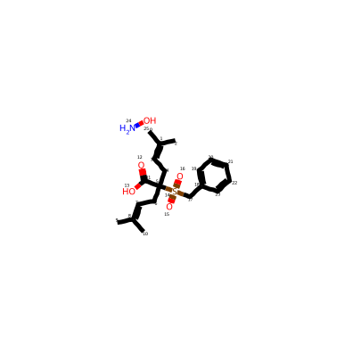 CC(C)=CCC(CC=C(C)C)(C(=O)O)S(=O)(=O)Cc1ccccc1.NO